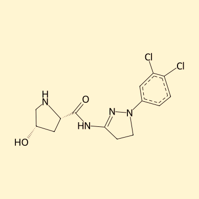 O=C(NC1=NN(c2ccc(Cl)c(Cl)c2)CC1)[C@@H]1C[C@H](O)CN1